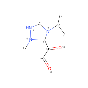 CC(C)N1CNN(C)C1C(=O)C=O